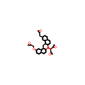 c1cc2ccc(OCC3CO3)c(Cc3c(OCC4CO4)ccc4ccc(OCC5CO5)cc34)c2cc1CC1CO1